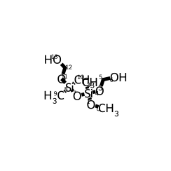 CO[Si](C)(OCO)O[Si](C)(C)OCO